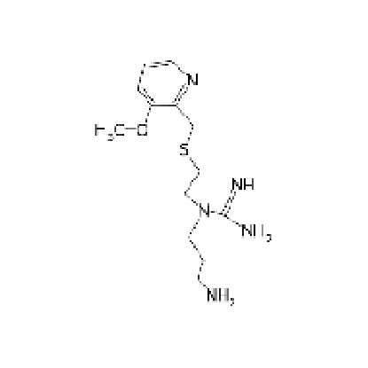 COc1cccnc1CSCCN(CCCN)C(=N)N